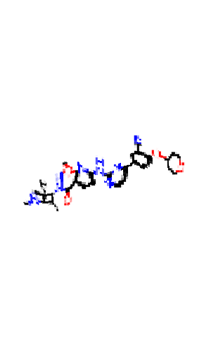 COc1nc(Nc2nccc(-c3ccc(OC4CCOCC4)c(C#N)c3)n2)ccc1C(=O)N[C@H]1[C@@H](C)C2[C@@H]1CN2C